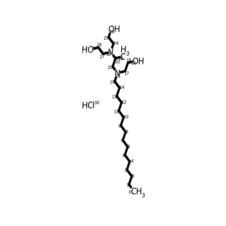 CCCCCCCCCCCCCCCCN(CCO)CC(C)N(CCO)CCO.Cl